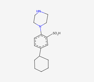 O=S(=O)(O)c1cc(C2CCCCC2)ccc1N1CCNCC1